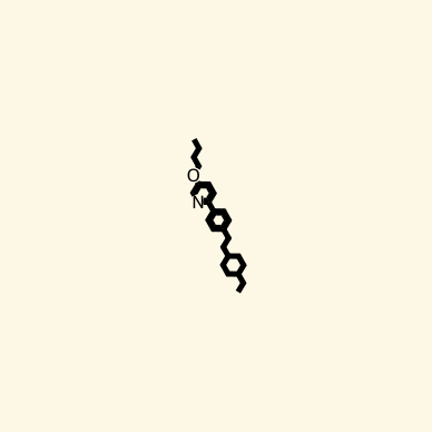 CCCCOc1ccc(-c2ccc(CCC3CCC(CC)CC3)cc2)nc1